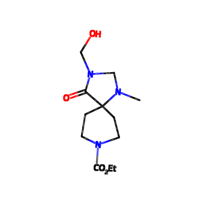 CCOC(=O)N1CCC2(CC1)C(=O)N(CO)CN2C